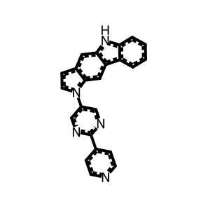 c1ccc2c(c1)[nH]c1cc3ccn(-c4cnc(-c5ccncc5)nc4)c3cc12